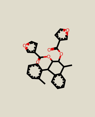 Cc1ccccc1C1c2ccccc2C(C)C(OC(=O)c2ccoc2)C1OC(=O)c1ccoc1